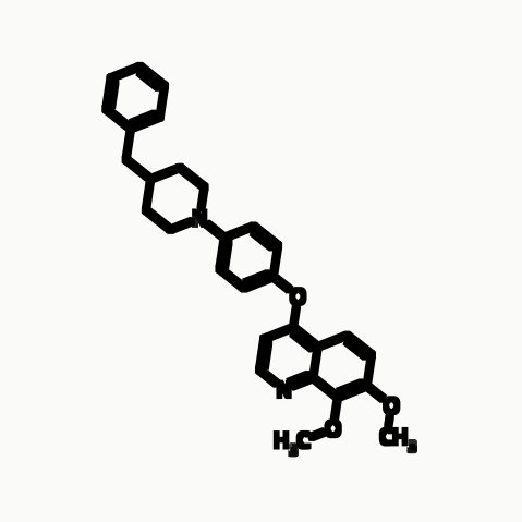 COc1ccc2c(Oc3ccc(N4CCC(Cc5ccccc5)CC4)cc3)ccnc2c1OC